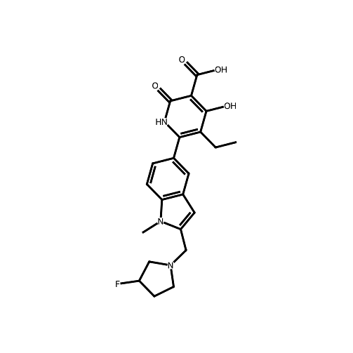 CCc1c(-c2ccc3c(c2)cc(CN2CCC(F)C2)n3C)[nH]c(=O)c(C(=O)O)c1O